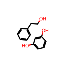 OCCc1ccccc1.Oc1cccc(O)c1